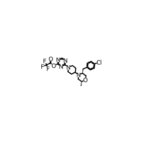 C[C@H]1CN(C2CCN(c3ncnc(OC(=O)C(F)(F)F)n3)CC2)[C@@H](Cc2ccc(Cl)cc2)CO1